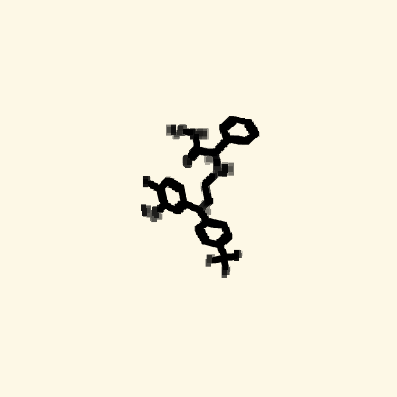 CNC(=O)[C@H](NCC[C@@H](c1ccc(C(F)(F)F)cc1)c1ccc(F)c(C)c1)c1ccccc1